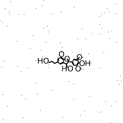 COc1cc(C2Oc3c(OC)cc(CCCO)cc3C2CO)cc(OC)c1O